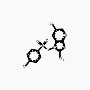 O=S(=O)(On1c(C(F)(F)F)nc2ncc(Cl)cc21)c1ccc(Cl)cc1